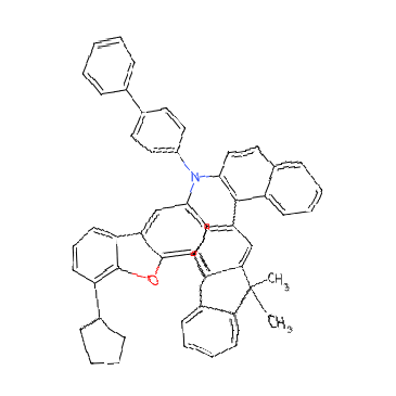 CC1(C)c2ccccc2-c2ccc(-c3c(N(c4ccc(-c5ccccc5)cc4)c4ccc5oc6c(C7CCCC7)cccc6c5c4)ccc4ccccc34)cc21